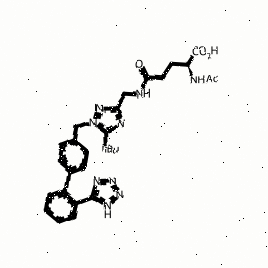 CCCCc1nc(CNC(=O)CC[C@H](NC(C)=O)C(=O)O)nn1Cc1ccc(-c2ccccc2-c2nnn[nH]2)cc1